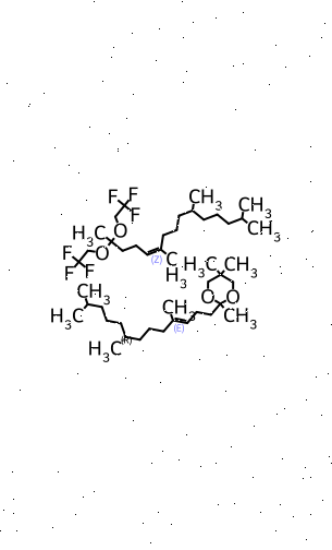 C/C(=C/CCC(C)(OCC(F)(F)F)OCC(F)(F)F)CCCC(C)CCCC(C)C.C/C(=C\CCC1(C)OCC(C)(C)CO1)CCC[C@H](C)CCCC(C)C